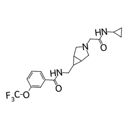 O=C(CN1CC2C(CNC(=O)c3cccc(OC(F)(F)F)c3)C2C1)NC1CC1